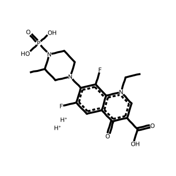 CCn1cc(C(=O)O)c(=O)c2cc(F)c(N3CCN(P(=O)(O)O)C(C)C3)c(F)c21.[H+].[H+]